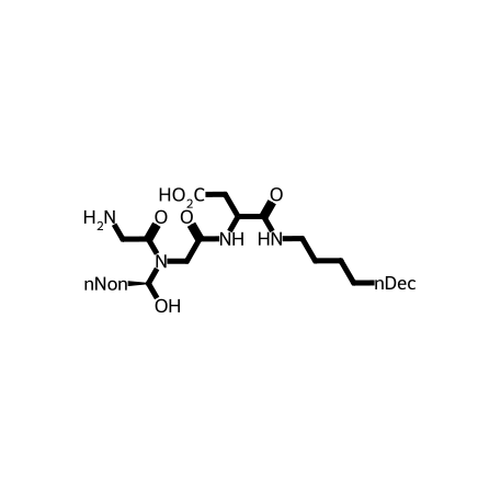 CCCCCCCCCCCCCCNC(=O)C(CC(=O)O)NC(=O)CN(C(=O)CN)[C@@H](O)CCCCCCCCC